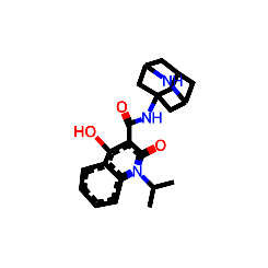 CC(C)n1c(=O)c(C(=O)NC23CC4CC(C2)NC(C4)C3)c(O)c2ccccc21